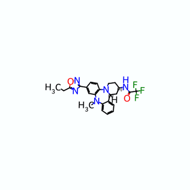 CCc1nc(-c2ccc3c(c2)N(C)c2ccccc2[C@H]2C[C@H](NC(=O)C(F)(F)F)CCN32)no1